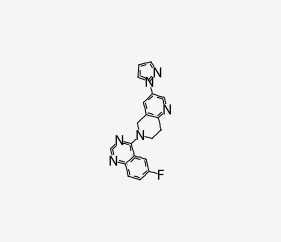 Fc1ccc2ncnc(N3CCc4ncc(-n5cccn5)cc4C3)c2c1